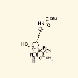 Cc1n[nH]c2c1[C@@](c1cc(C#CC34CC(NC(=O)OC(C)(C)C)(C3)C4)cc(CO)c1)(C(C)C)C(C#N)=C(N)O2